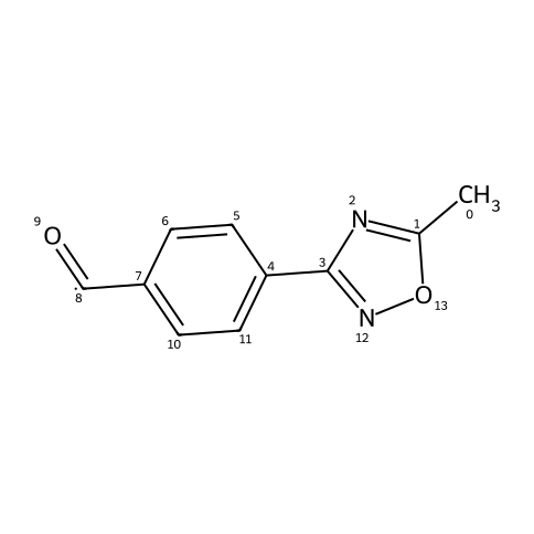 Cc1nc(-c2ccc([C]=O)cc2)no1